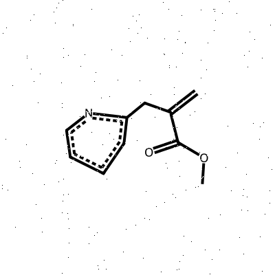 C=C(Cc1ccccn1)C(=O)OC